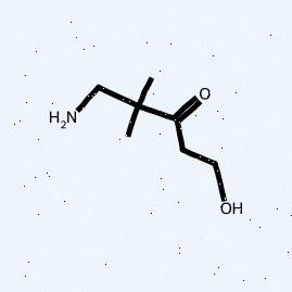 CC(C)(CN)C(=O)CCO